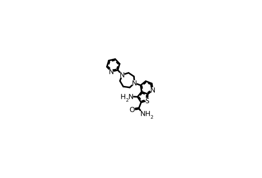 NC(=O)c1sc2nccc(N3CCCN(c4ccccn4)CC3)c2c1N